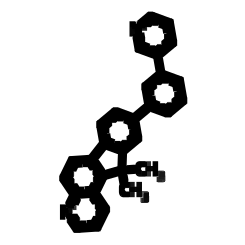 CC1(C)c2cc(-c3cccc(-c4cccnc4)c3)ccc2-c2ccc3ncccc3c21